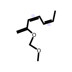 C=C(/C=C\C=C/C)OCOC